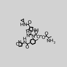 Cc1ccc(C(=O)Nc2ccon2)cc1N(C(=N)c1[nH]cc(C(=O)NC2CC2)c1C)C(=O)OCOC(=O)C(C)N